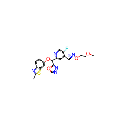 COCCO/N=C/c1cc(C(Oc2ccc3nc(C)sc3c2)c2nnco2)ncc1F